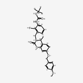 COc1ccc(COc2ccc3c(c2)OC(=O)N(Cc2cccc(NC(=O)OC(C)(C)C)c2F)C3C)cc1